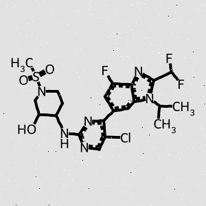 CC(C)n1c(C(F)F)nc2c(F)cc(-c3nc(NC4CCN(S(C)(=O)=O)CC4O)ncc3Cl)cc21